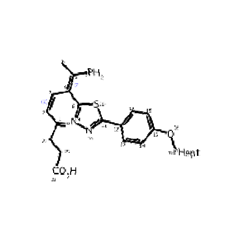 C=C(/C=C\C(=C(/C)P)c1nnc(-c2ccc(OCCCCCCC)cc2)s1)CCC(=O)O